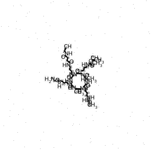 C#CCNC(=O)CCC(=O)NCCCC[C@H]1NC(=O)[C@H](CCCCNC(=O)OC(C)(C)C)NC(=O)[C@@H](C)NC(=O)[C@H](CCCCNBOC)NC(=O)[C@@H](C)NC(=O)[C@H](CCCCBOCN)NC1=O